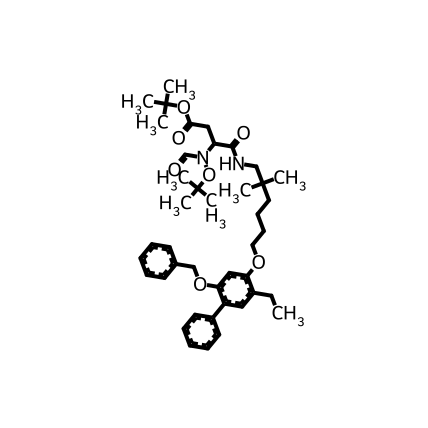 CCc1cc(-c2ccccc2)c(OCc2ccccc2)cc1OCCCCC(C)(C)CNC(=O)C(CC(=O)OC(C)(C)C)N(C=O)OC(C)(C)C